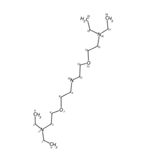 CCN(CC)CCOCC[N]CCOCCN(CC)CC